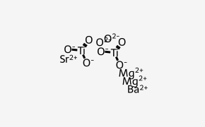 [Ba+2].[Mg+2].[Mg+2].[O-2].[O-2].[O]=[Ti]([O-])[O-].[O]=[Ti]([O-])[O-].[Sr+2]